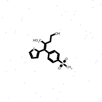 CS(=O)(=O)c1ccc(C(=C(CCO)C(=O)O)c2cccs2)cc1